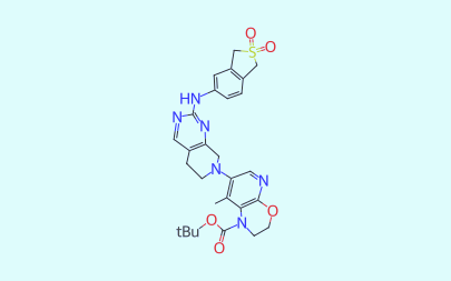 Cc1c(N2CCc3cnc(Nc4ccc5c(c4)CS(=O)(=O)C5)nc3C2)cnc2c1N(C(=O)OC(C)(C)C)CCO2